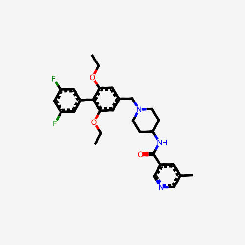 CCOc1cc(CN2CCC(NC(=O)c3cncc(C)c3)CC2)cc(OCC)c1-c1cc(F)cc(F)c1